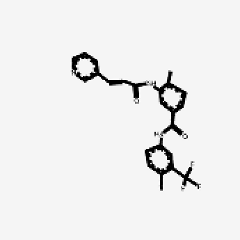 Cc1ccc(C(=O)Nc2ccc(C)c(C(F)(F)F)c2)cc1NC(=O)/C=C/c1cccnc1